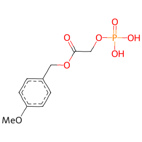 COc1ccc(COC(=O)COP(=O)(O)O)cc1